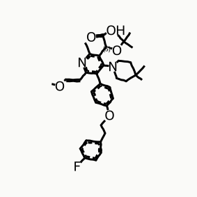 COC=Cc1nc(C)c([C@H](OC(C)(C)C)C(=O)O)c(N2CCC(C)(C)CC2)c1-c1ccc(OCCc2ccc(F)cc2)cc1